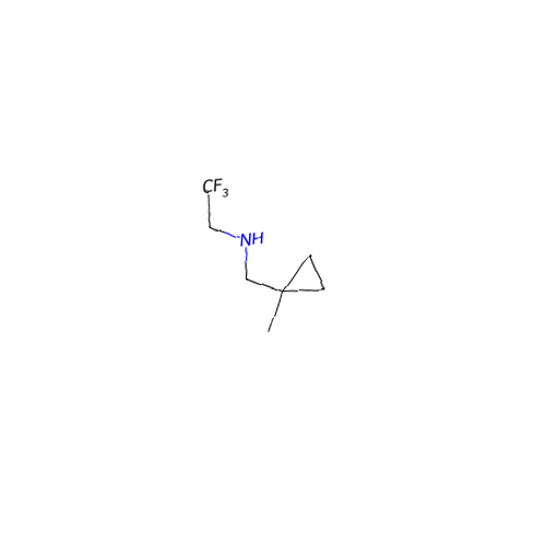 CC1(CNCC(F)(F)F)CC1